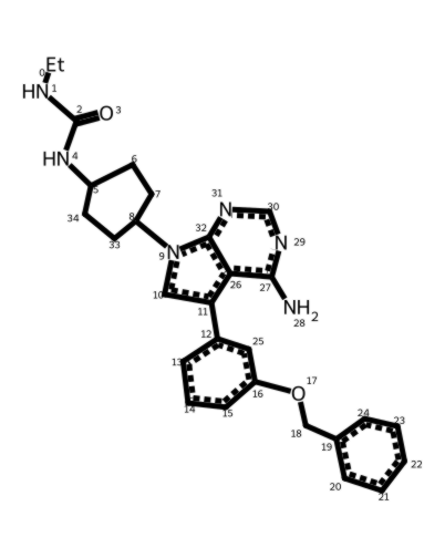 CCNC(=O)NC1CCC(n2cc(-c3cccc(OCc4ccccc4)c3)c3c(N)ncnc32)CC1